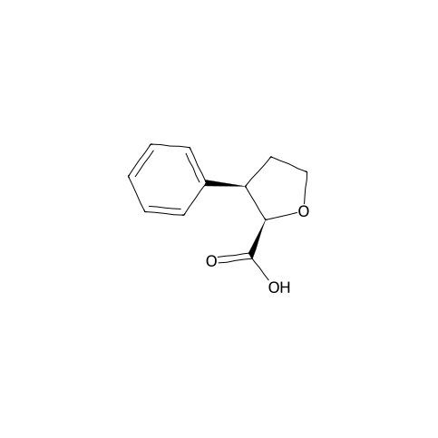 O=C(O)[C@@H]1OCC[C@@H]1c1ccccc1